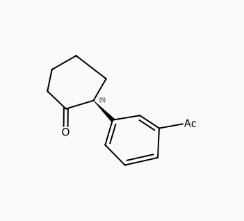 CC(=O)c1cccc([C@@H]2CCCCC2=O)c1